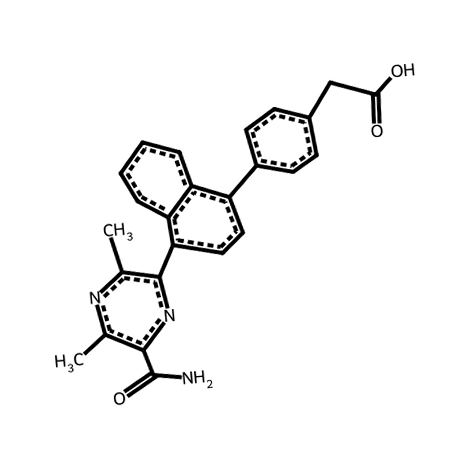 Cc1nc(C)c(-c2ccc(-c3ccc(CC(=O)O)cc3)c3ccccc23)nc1C(N)=O